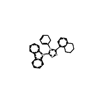 C1=CCCC(n2c(-c3cccc4c3CCCC4)nnc2-n2c3ccccc3c3ccccc32)=C1